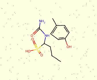 CCCC(NC(N)=O)S(=O)(=O)O.Cc1ccc(O)cc1